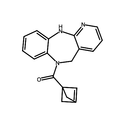 O=C(N1Cc2cccnc2Nc2ccccc21)C12C=C(C1)C2